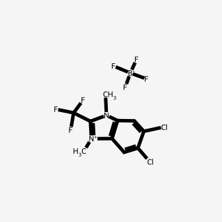 Cn1c(C(F)(F)F)[n+](C)c2cc(Cl)c(Cl)cc21.F[B-](F)(F)F